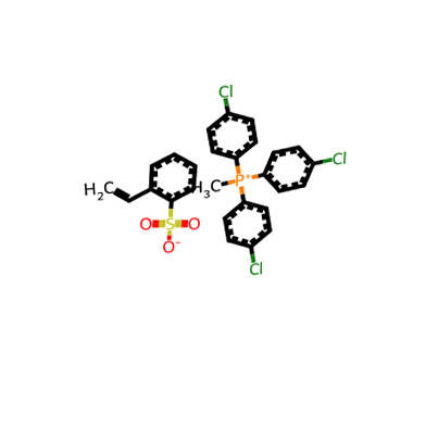 C=Cc1ccccc1S(=O)(=O)[O-].C[P+](c1ccc(Cl)cc1)(c1ccc(Cl)cc1)c1ccc(Cl)cc1